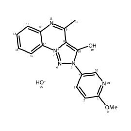 COc1ccc(-n2n[n+]3c(c(C)nc4ccccc43)c2O)cn1.[OH-]